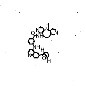 O=C(Nc1nccc2c1CCCc1cnccc1N2)c1cccc(Nc2ccnc3ccc(C4=C[C@H]5CC[C@@H]4CO5)cc23)c1